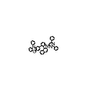 c1ccc(-c2cc(-n3c4cccc(-c5ccc6c(c5)N(c5ccccc5)c5ccccc5O6)c4c4c5ccccc5ccc43)nc(-c3ccccc3)n2)cc1